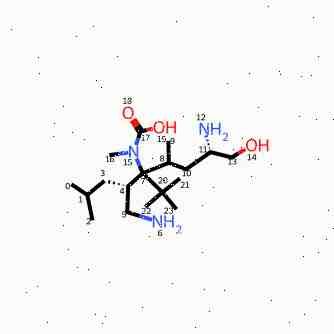 CC(C)C[C@@H](CN)C(C(C)C[C@H](N)CO)(N(C)C(=O)O)C(C)(C)C